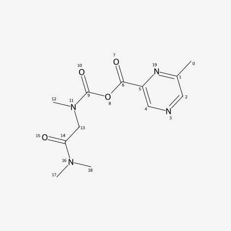 Cc1cncc(C(=O)OC(=O)N(C)CC(=O)N(C)C)n1